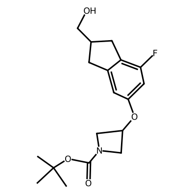 CC(C)(C)OC(=O)N1CC(Oc2cc(F)c3c(c2)CC(CO)C3)C1